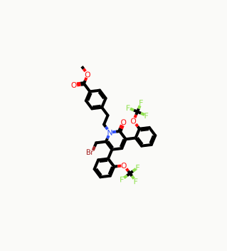 COC(=O)c1ccc(CCn2c(CBr)c(-c3ccccc3OC(F)(F)F)cc(-c3ccccc3OC(F)(F)F)c2=O)cc1